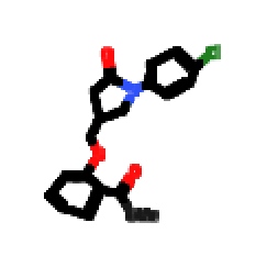 COC(=O)c1ccccc1OCC1CC(=O)N(c2ccc(Cl)cc2)C1